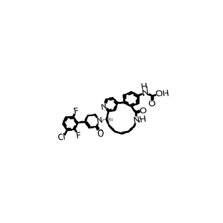 O=C(O)Nc1ccc2c(c1)C(=O)NCCCCC[C@H](N1CCC(c3c(F)ccc(Cl)c3F)=CC1=O)c1cc-2ccn1